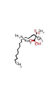 CCCCCCCCCC[Si](C)(C)CCCC(C)(C(=O)O)C(=O)OC